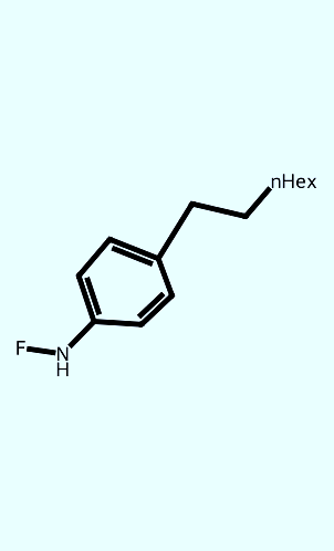 CCCCCCCCc1ccc(NF)cc1